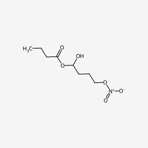 CCCC(=O)OC(O)CCCO[N+](=O)[O-]